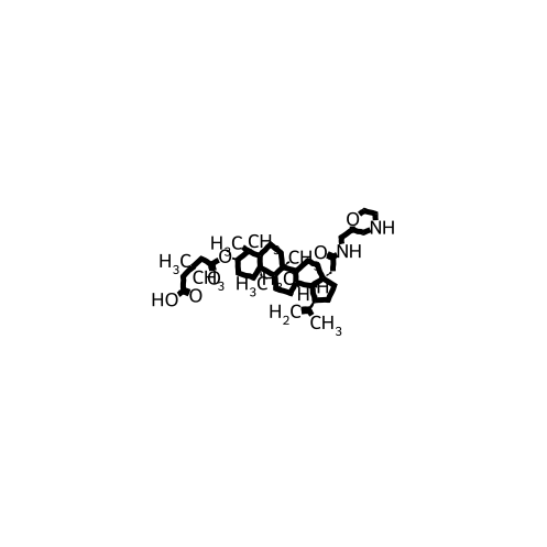 C=C(C)[C@@H]1CC[C@]2(CC(=O)NCC3CNCCO3)CC[C@]3(C)[C@H](CCC4[C@@]5(C)CC[C@H](OC(=O)CC(C)(C)CC(=O)O)C(C)(C)C5CC[C@]43C)[C@@H]12